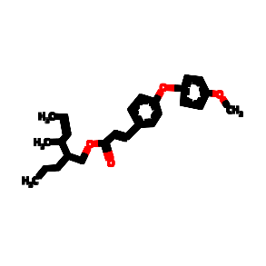 C/C=C\C(C)C(CCC)COC(=O)/C=C/c1ccc(Oc2ccc(OC)cc2)cc1